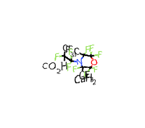 O=C(O)C(F)(C(F)(F)F)C(F)(F)N1C(F)(C(F)(F)F)C(F)(F)OC(F)(F)C1(F)C(F)(F)F.[CaH2]